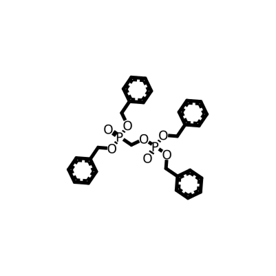 O=P(COP(=O)(OCc1ccccc1)OCc1ccccc1)(OCc1ccccc1)OCc1ccccc1